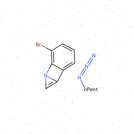 Brc1cccc2c3cn-3c12.CCCCCN=[N+]=[N-]